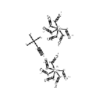 C#CC(C)(C)C.O=[CH][Co]([CH]=O)([CH]=O)([CH]=O)([CH]=O)[CH]=O.O=[CH][Co]([CH]=O)([CH]=O)([CH]=O)([CH]=O)[CH]=O